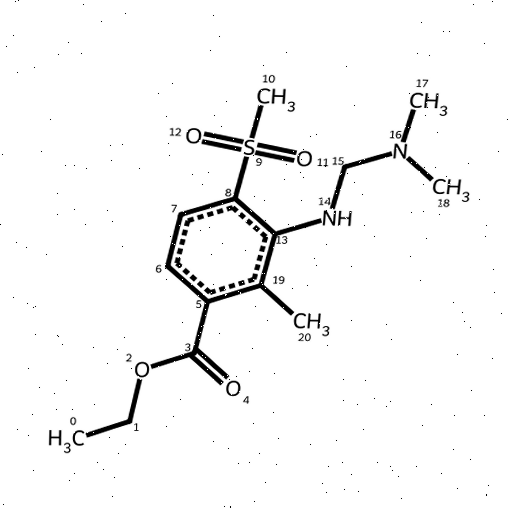 CCOC(=O)c1ccc(S(C)(=O)=O)c(NCN(C)C)c1C